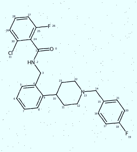 O=C(NCc1ccccc1C1CCN(Cc2ccc(F)cc2)CC1)c1c(F)cccc1Cl